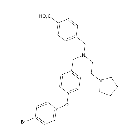 O=C(O)c1ccc(CN(CCN2CCCC2)Cc2ccc(Oc3ccc(Br)cc3)cc2)cc1